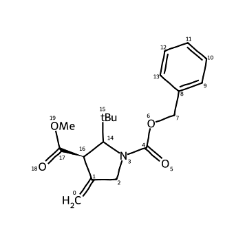 C=C1CN(C(=O)OCc2ccccc2)C(C(C)(C)C)[C@@H]1C(=O)OC